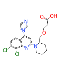 O=C(O)CCOCC1CCCCN1c1cc(-n2ccnc2)c2ccc(Cl)c(Cl)c2n1